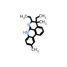 CCC1N=C2Nc3ccc(C)cc3-c3cccc(c32)C1(C)CC